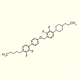 CCCCCc1ccc(-c2ccc(OCc3ccc(C4CCC(CCC)CC4)c(F)c3F)cc2)c(F)c1F